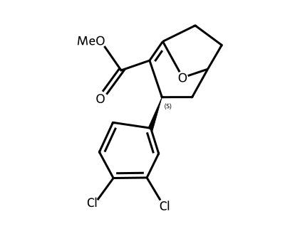 COC(=O)C1=C2CCC(C[C@H]1c1ccc(Cl)c(Cl)c1)O2